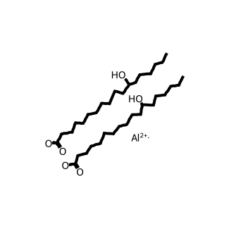 CCCCCCC(O)CCCCCCCCCCC(=O)[O-].CCCCCCC(O)CCCCCCCCCCC(=O)[O-].[Al+2]